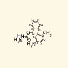 Cc1ccc(N)cc1.NNC(=O)OCc1ccccc1